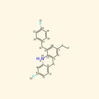 CCc1cc(Cc2ccc(F)cc2)c(N)c(Cc2ccc(F)cc2)c1